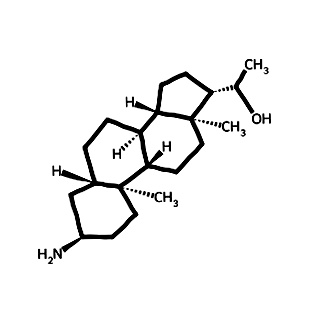 CC(O)[C@H]1CC[C@H]2[C@@H]3CC[C@H]4C[C@H](N)CC[C@]4(C)[C@H]3CC[C@]12C